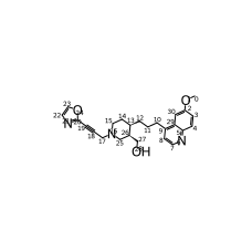 COc1ccc2nccc(CCC[C@@H]3CCN(CC#Cc4ncco4)C[C@@H]3CO)c2c1